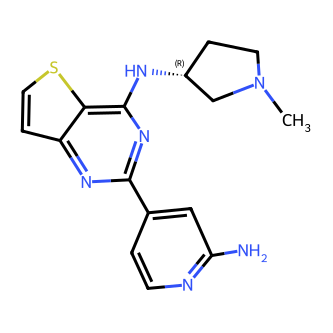 CN1CC[C@@H](Nc2nc(-c3ccnc(N)c3)nc3ccsc23)C1